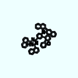 c1ccc2cc3c(cc2c1)c1ccc2ccccc2c1n3-c1ccc(C2=NC(c3cccc4ccccc34)NC(c3cccc4ccccc34)=N2)cc1-c1cccc2oc3ccccc3c12